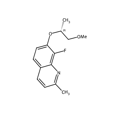 COC[C@@H](C)Oc1ccc2ccc(C)nc2c1F